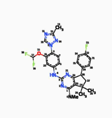 CNc1nc(Nc2ccc(-n3cnc(C)n3)c(OC(F)F)c2)nc2c1C(C)(C)CC2c1ccc(F)cc1